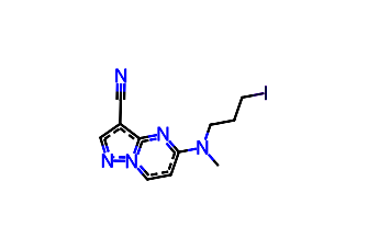 CN(CCCI)c1ccn2ncc(C#N)c2n1